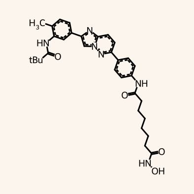 Cc1ccc(-c2cn3nc(-c4ccc(NC(=O)CCCCCCC(=O)NO)cc4)ccc3n2)cc1NC(=O)C(C)(C)C